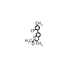 CC(=O)NC(C)Cc1ccc(-c2ccc(C)cc2Cl)cc1